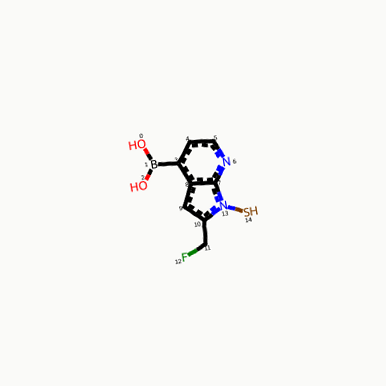 OB(O)c1ccnc2c1cc(CF)n2S